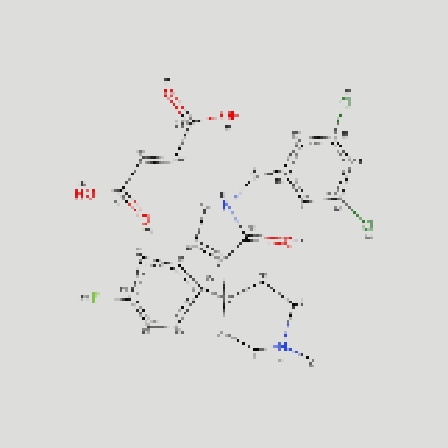 CN1CCC(C2=CCN(Cc3cc(Cl)cc(Cl)c3)C2=O)(c2ccc(F)cc2)CC1.O=C(O)/C=C/C(=O)O